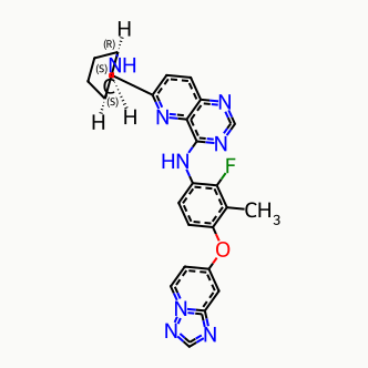 Cc1c(Oc2ccn3ncnc3c2)ccc(Nc2ncnc3ccc([C@H]4C[C@H]5CC[C@@H]4CN5)nc23)c1F